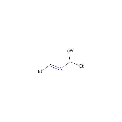 [CH2]CC=NC(CC)CCC